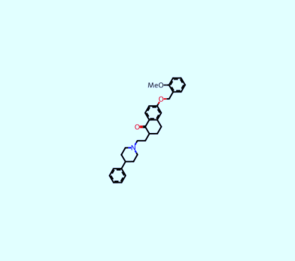 COc1ccccc1COc1ccc2c(c1)CCC(CCN1CCC(c3ccccc3)CC1)C2=O